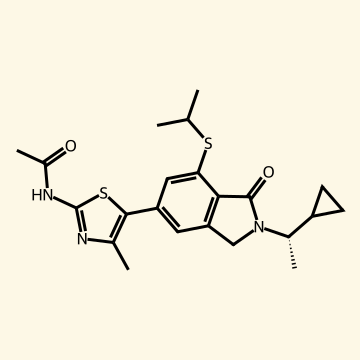 CC(=O)Nc1nc(C)c(-c2cc3c(c(SC(C)C)c2)C(=O)N([C@@H](C)C2CC2)C3)s1